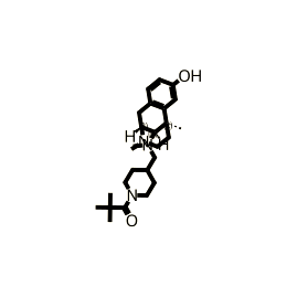 CN1CC[C@]2(C)c3cc(O)ccc3C[C@@H]1[C@@H]2N(C)CC1CCN(C(=O)C(C)(C)C)CC1